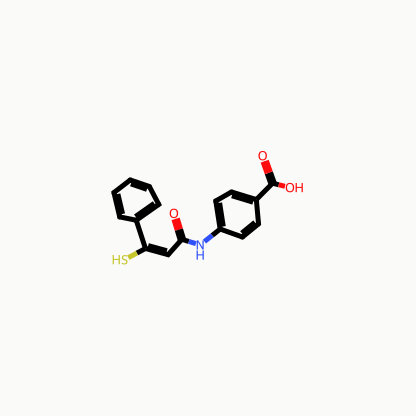 O=C(/C=C(/S)c1ccccc1)Nc1ccc(C(=O)O)cc1